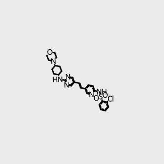 O=S(=O)(Nc1ccc(/C=C/c2cnc(N[C@H]3CC[C@H](N4CCOCC4)CC3)nc2)cn1)c1ccccc1Cl